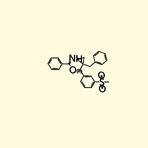 CS(=O)(=O)c1cccc([C@H](OC(=N)c2ccccc2)C2(Cc3ccccc3)CC2)c1